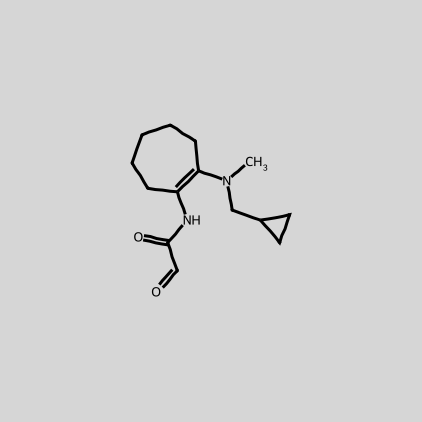 CN(CC1CC1)C1=C(NC(=O)C=O)CCCCC1